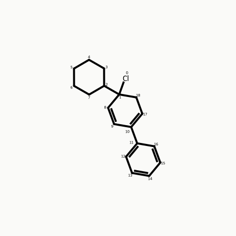 ClC1(C2CCCCC2)C=CC(c2ccccc2)=CC1